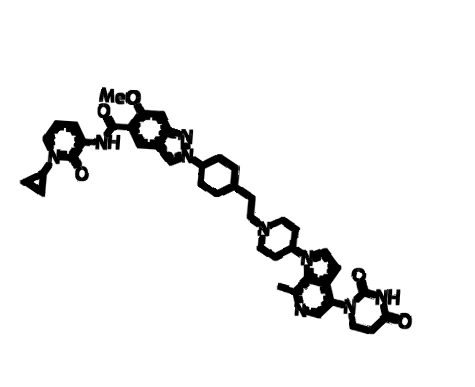 COc1cc2nn(C3CCC(CCN4CCC(n5ccc6c(N7CCC(=O)NC7=O)cnc(C)c65)CC4)CC3)cc2cc1C(=O)Nc1cccn(C2CC2)c1=O